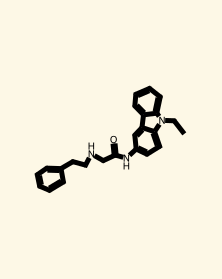 CCn1c2ccccc2c2cc(NC(=O)CNCCc3ccccc3)ccc21